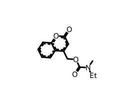 CCN(C)C(=O)OCc1cc(=O)oc2ccccc12